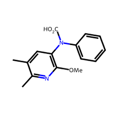 COc1nc(C)c(C)cc1N(C(=O)O)c1ccccc1